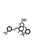 COc1cccc(CCC2=C3C[C@H](O)C[C@]3(Cc3ccccc3)CC([Si](C)(C)C)=C2C)c1